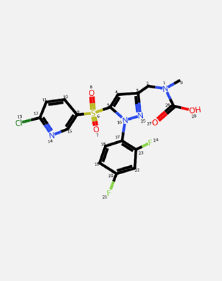 CN(Cc1cc(S(=O)(=O)c2ccc(Cl)nc2)n(-c2ccc(F)cc2F)n1)C(=O)O